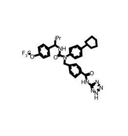 CC(C)C(NC(=O)N(Cc1ccc(C(=O)Nc2nn[nH]n2)cc1)c1ccc(C2CCCCC2)cc1)c1ccc(OC(F)(F)F)cc1